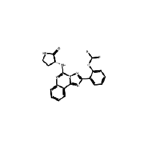 O=C1NCC[C@H]1Nc1nc2ccccc2c2nc(-c3ccccc3OC(F)F)nn12